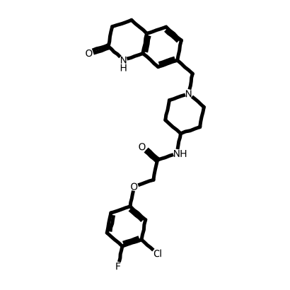 O=C1CCc2ccc(CN3CCC(NC(=O)COc4ccc(F)c(Cl)c4)CC3)cc2N1